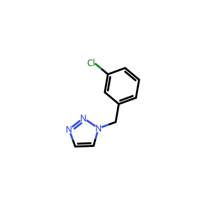 Clc1cccc(Cn2ccnn2)c1